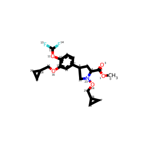 COC(=O)C1CC(c2ccc(OC(F)F)c(OCC3CC3)c2)CN1OCC1CC1